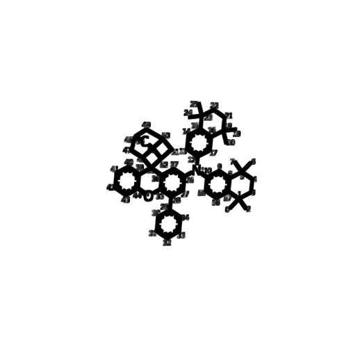 CC1(C)CCC(C)(C)c2cc(N(c3ccc4c(c3)C(C)(C)CCC4(C)C)c3cc(-c4ccccc4)c4c(c3)C3(c5ccccc5O4)C4CC5CC6CC3C64C5)ccc21